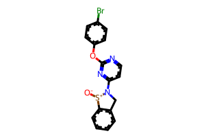 [O-][S+]1c2ccccc2CN1c1ccnc(Oc2ccc(Br)cc2)n1